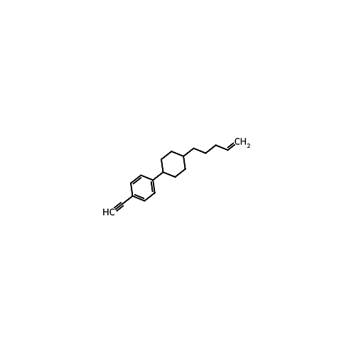 C#Cc1ccc(C2CCC(CCCC=C)CC2)cc1